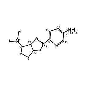 CN(C)C1CCC2CN(c3ccc(N)cc3)CC21